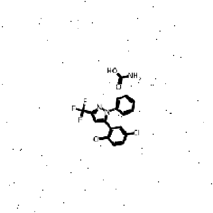 FC(F)(F)c1cc(-c2cc(Cl)ccc2Cl)n(-c2ccccc2)n1.NC(=O)O